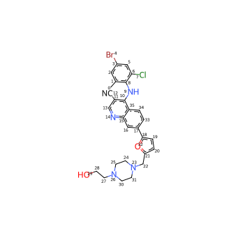 Cc1cc(Br)cc(Cl)c1Nc1c(C#N)cnc2cc(-c3ccc(CN4CCN(CCO)CC4)o3)ccc12